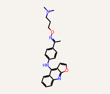 C/C(=N\OCCCN(C)C)c1ccc(Nc2c3ccccc3nc3occc23)cc1